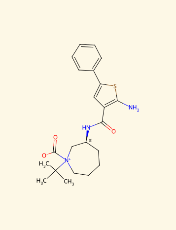 CC(C)(C)[N+]1(C(=O)[O-])CCCC[C@H](NC(=O)c2cc(-c3ccccc3)sc2N)C1